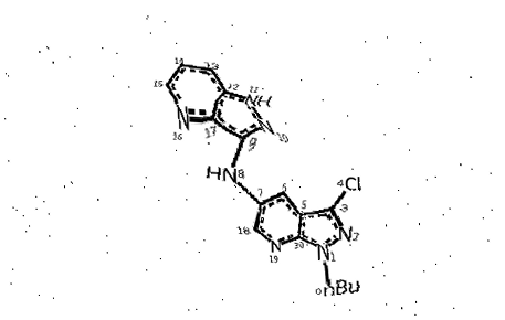 CCCCn1nc(Cl)c2cc(Nc3n[nH]c4cccnc34)cnc21